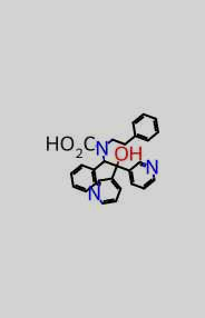 O=C(O)N(CCc1ccccc1)[C@H](c1ccccc1)C(O)(c1cccnc1)c1cccnc1